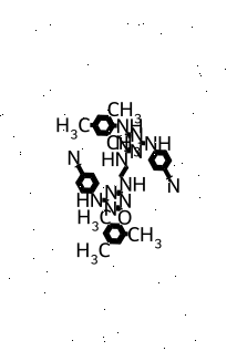 Cc1cc(C)c(Nc2nc(NCCNc3nc(Nc4ccc(C#N)cc4)nc(Oc4c(C)cc(C)cc4C)n3)nc(Nc3ccc(C#N)cc3)n2)c(C)c1